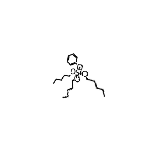 CCCCCO[Si](OCCCCC)(OCCCCC)Oc1ccccc1